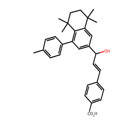 Cc1ccc(-c2cc(C(O)C=Cc3ccc(C(=O)O)cc3)cc3c2C(C)(C)CCC3(C)C)cc1